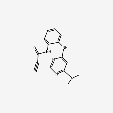 C#CC(=O)Nc1ccccc1Nc1cc(N(C)C)ncn1